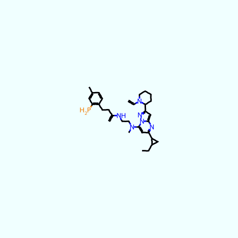 C=CN1CCCCC1c1cc2nc(C3CC3CC)cc(N(C)CCNC(=C)CCc3ccc(C)cc3P)n2n1